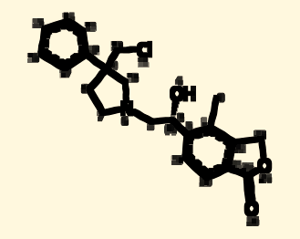 Cc1c([C@@H](O)CN2CCC(CCl)(c3ccccc3)C2)ccc2c1COC2=O